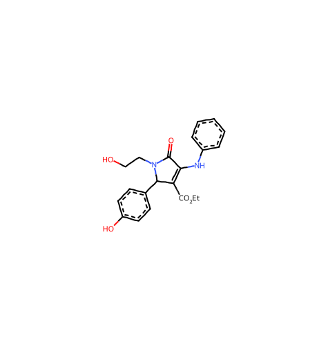 CCOC(=O)C1=C(Nc2ccccc2)C(=O)N(CCO)C1c1ccc(O)cc1